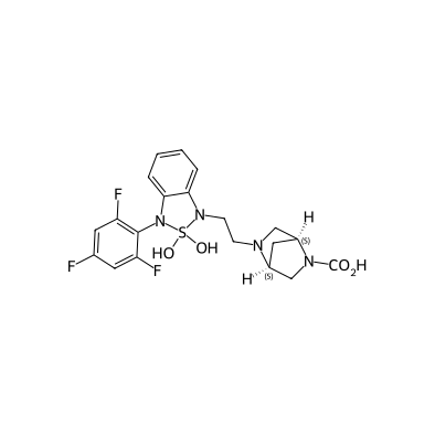 O=C(O)N1C[C@@H]2C[C@H]1CN2CCN1c2ccccc2N(c2c(F)cc(F)cc2F)S1(O)O